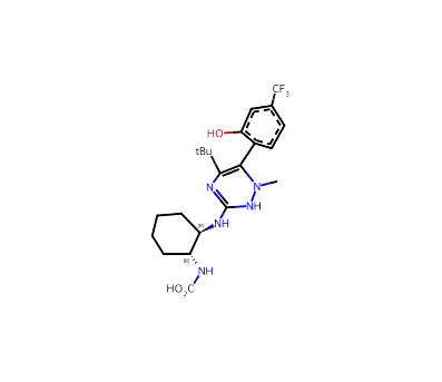 CN1NC(N[C@@H]2CCCC[C@H]2NC(=O)O)=NC(C(C)(C)C)=C1c1ccc(C(F)(F)F)cc1O